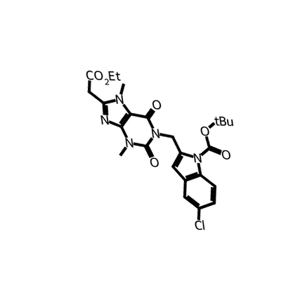 CCOC(=O)Cc1nc2c(c(=O)n(Cc3cc4cc(Cl)ccc4n3C(=O)OC(C)(C)C)c(=O)n2C)n1C